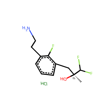 C[C@](O)(Cc1cccc(CCN)c1F)C(F)F.Cl